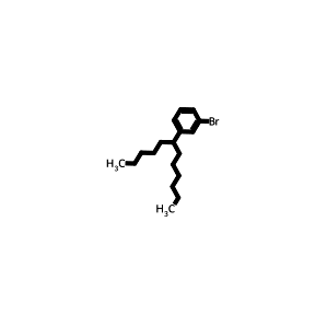 CCCCCCC(CCCCC)c1cccc(Br)c1